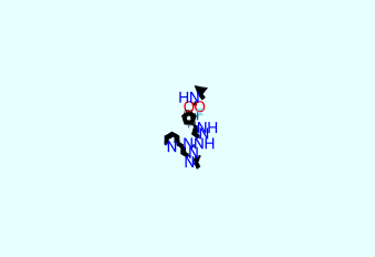 Cc1cn2c(Nc3cc([C@H]4CC[C@@H](OC(=O)NC5(C)CC5)[C@@H]4F)[nH]n3)nc(-c3ccccn3)cc2n1